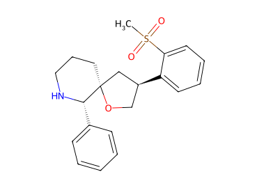 CS(=O)(=O)c1ccccc1[C@H]1CO[C@]2(CCCN[C@H]2c2ccccc2)C1